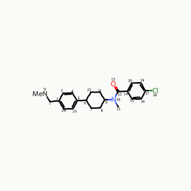 CNCc1ccc(C2CCC(N(C)C(=O)c3ccc(Cl)cc3)CC2)cc1